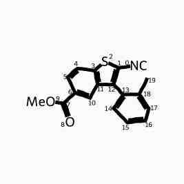 [C-]#[N+]c1sc2ccc(C(=O)OC)cc2c1-c1ccccc1C